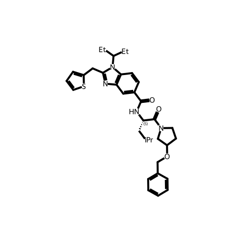 CCC(CC)n1c(Cc2cccs2)nc2cc(C(=O)N[C@@H](CC(C)C)C(=O)N3CCC(OCc4ccccc4)C3)ccc21